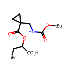 CC(C)CC(OC(=O)C1(CNC(=O)OC(C)(C)C)CC1)C(=O)O